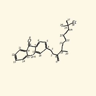 C=C(CCc1ccc2c(=O)c3ccccc3sc2c1)C(C)CCCCC(C)(C)CC